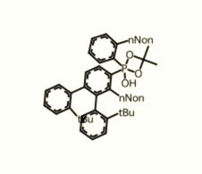 CCCCCCCCCc1ccccc1P1(O)(c2ccc(-c3ccccc3C(C)(C)C)c(-c3ccccc3C(C)(C)C)c2CCCCCCCCC)OC(C)(C)O1